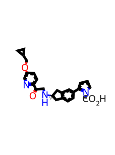 O=C(CN[C@@H]1Cc2ccc(-c3cccn3C(=O)O)cc2C1)c1ccc(OCC2CC2)cn1